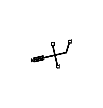 N#CC(Cl)(Cl)CCl